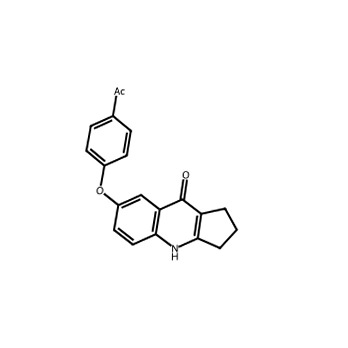 CC(=O)c1ccc(Oc2ccc3[nH]c4c(c(=O)c3c2)CCC4)cc1